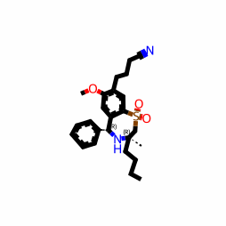 CCCC[C@]1(C)CS(=O)(=O)c2cc(CCCC#N)c(OC)cc2[C@@H](c2ccccc2)N1